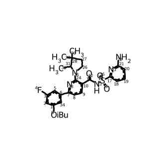 CC(C)COc1cc(F)cc(-c2ccc(C(=O)NS(=O)(=O)c3cccc(N)n3)c(N3CCC(C)(C)C3C)n2)c1